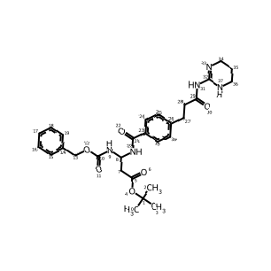 CC(C)(C)OC(=O)CC(NC(=O)OCc1ccccc1)NC(=O)c1ccc(CCC(=O)NC2=NCCCN2)cc1